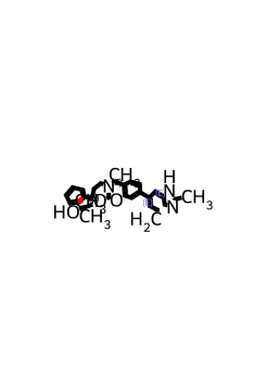 C=C/C=C(\C=C1/CN=C(C)N1)c1ccc([C@H](C)N2CC[C@](CC(C)(C)O)(c3ccccc3)OC2=O)cc1